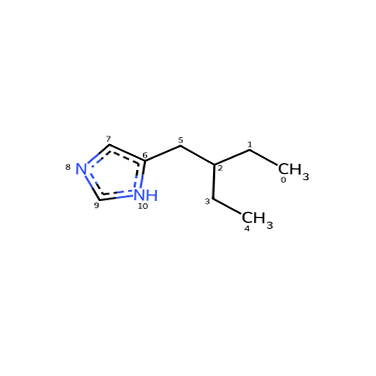 CCC(CC)Cc1cnc[nH]1